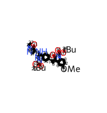 COc1ccc2c(c1)[C@]1(C[C@H]1c1ccc3c(Nc4cnn5c4OCC5)nn(C(=O)OC(C)(C)C)c3c1)C(=O)N2C(=O)OC(C)(C)C